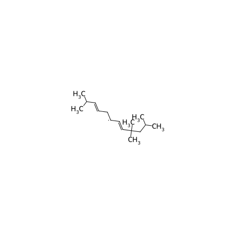 CC(C)C=CC[CH]C=CC(C)(C)CC(C)C